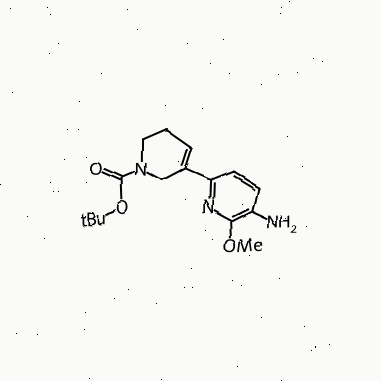 COc1nc(C2=CCCN(C(=O)OC(C)(C)C)C2)ccc1N